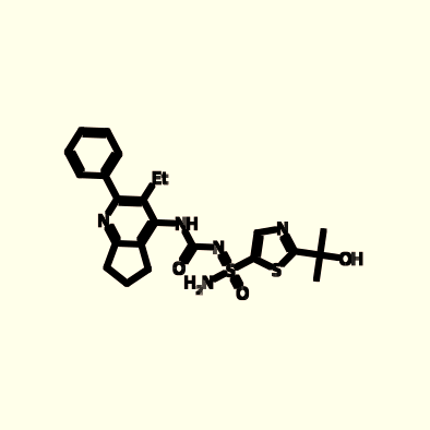 CCc1c(-c2ccccc2)nc2c(c1NC(=O)N=S(N)(=O)c1cnc(C(C)(C)O)s1)CCC2